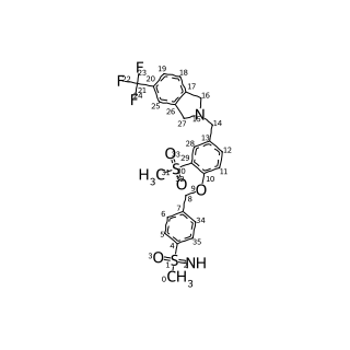 CS(=N)(=O)c1ccc(COc2ccc(CN3Cc4ccc(C(F)(F)F)cc4C3)cc2S(C)(=O)=O)cc1